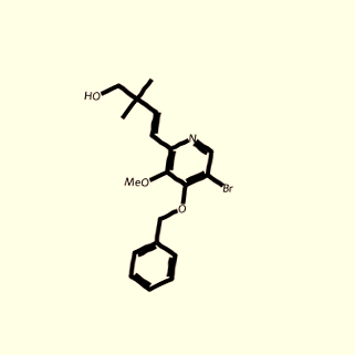 COc1c(C=CC(C)(C)CO)ncc(Br)c1OCc1ccccc1